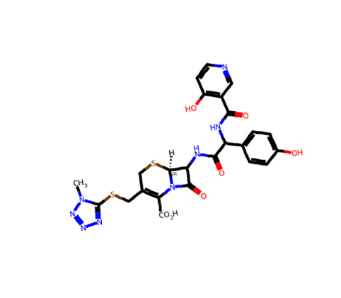 Cn1nnnc1SCC1=C(C(=O)O)N2C(=O)C(NC(=O)C(NC(=O)c3cnccc3O)c3ccc(O)cc3)[C@@H]2SC1